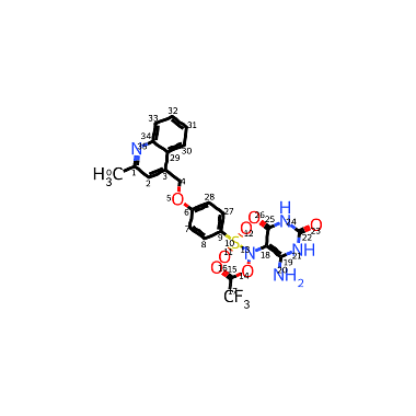 Cc1cc(COc2ccc(S(=O)(=O)N(OC(=O)C(F)(F)F)c3c(N)[nH]c(=O)[nH]c3=O)cc2)c2ccccc2n1